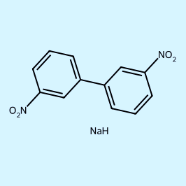 O=[N+]([O-])c1cccc(-c2cccc([N+](=O)[O-])c2)c1.[NaH]